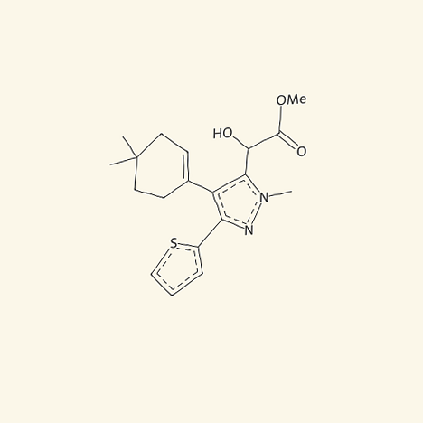 COC(=O)C(O)c1c(C2=CCC(C)(C)CC2)c(-c2cccs2)nn1C